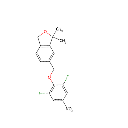 CC1(C)OCc2ccc(COc3c(F)cc([N+](=O)[O-])cc3F)cc21